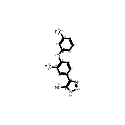 N#Cc1[nH]nnc1-c1ccc(Oc2cccc(C(F)(F)F)c2)c(C(F)(F)F)c1